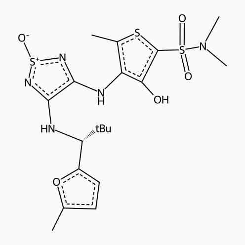 Cc1ccc([C@H](Nc2n[s+]([O-])nc2Nc2c(C)sc(S(=O)(=O)N(C)C)c2O)C(C)(C)C)o1